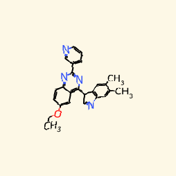 CCOc1ccc2nc(-c3cccnc3)nc(C3C=Nc4cc(C)c(C)cc43)c2c1